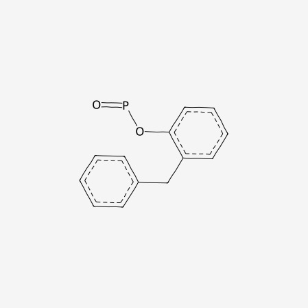 O=POc1ccccc1Cc1ccccc1